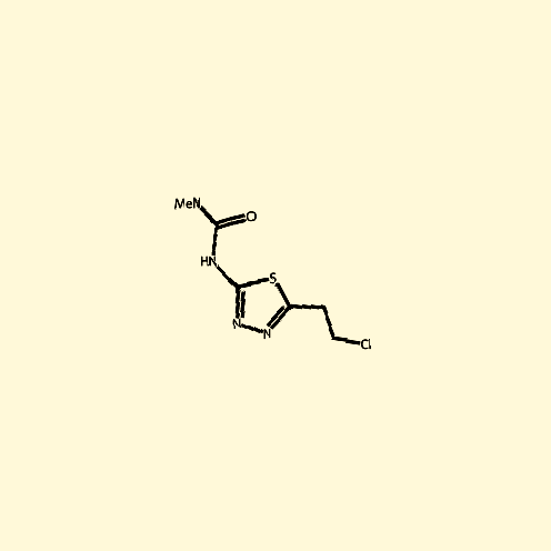 CNC(=O)Nc1nnc(CCCl)s1